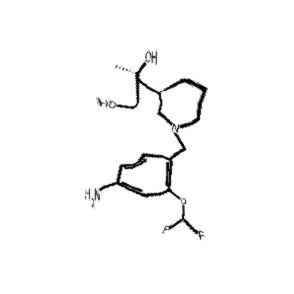 C[C@@](O)(CO)[C@H]1CCCN(Cc2ccc(N)cc2OC(F)F)C1